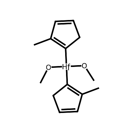 C[O][Hf]([O]C)([C]1=C(C)C=CC1)[C]1=C(C)C=CC1